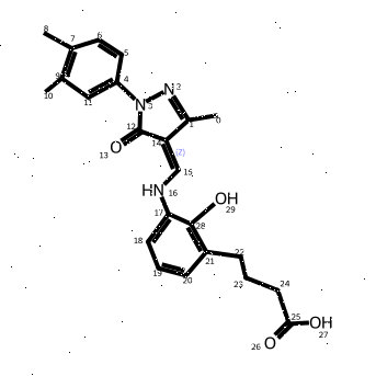 CC1=NN(c2ccc(C)c(C)c2)C(=O)/C1=C\Nc1cccc(CCCC(=O)O)c1O